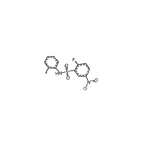 Cc1ccccc1NS(=O)(=O)c1cc([N+](=O)[O-])ccc1F